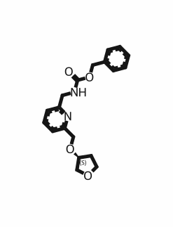 O=C(NCc1cccc(CO[C@H]2CCOC2)n1)OCc1ccccc1